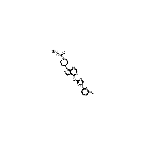 CC(C)(C)OC(=O)N1CCC(n2ncc3c(Oc4ncn(-c5cccc(Cl)n5)n4)ncnc32)CC1